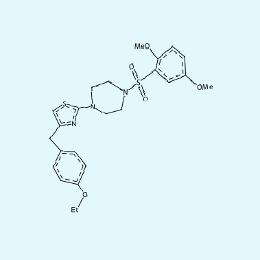 CCOc1ccc(Cc2csc(N3CCN(S(=O)(=O)c4cc(OC)ccc4OC)CC3)n2)cc1